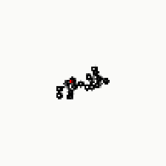 c1ccc(-c2cccc(-c3nc(-n4c5cc6ccccc6cc5c5cc6c7cc(-c8ccc9cccc(-c%10nc(-n%11c%12cc%13ccccc%13cc%12c%12cc%13c%14ccccc%14n%14c%15ccccc%15c(c%12%11)c%13%14)c%11ccccc%11n%10)c9c8)ccc7n7c8ccccc8c(c54)c67)c4ccccc4n3)c2)cc1